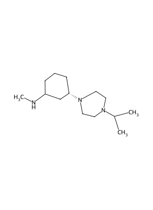 CNC1CCC[C@H](N2CCN(C(C)C)CC2)C1